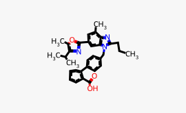 CCCc1nc2c(C)cc(-c3nc(C(C)C)c(C)o3)cc2n1Cc1ccc(-c2ccccc2C(=O)O)cc1